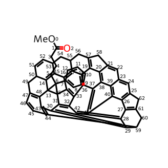 COC(=O)CCCC1(c2ccccc2)C23C4=C5c6c7c8c9c%10c%11cc%12cc%13c%14c%15c%16c%17c(c%18c%19c(c6C%1812)c8c1c%10c%12c%14c1c%16%19)-c1c(ccc(c13)CC4C=CC5CC7CC=9C%11)C%17CC=%15C%13